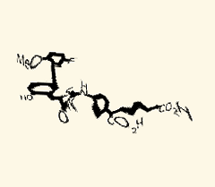 COc1ccc(F)cc1-c1ccc(O)c(C=C2SC(Nc3ccc(C(CCCCCC(=O)O)C(=O)O)cc3)=NC2=O)c1